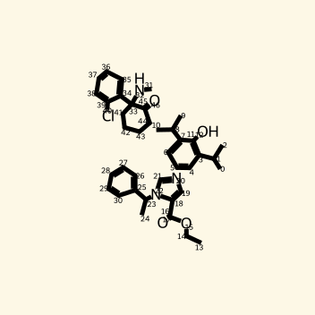 CC(C)c1cccc(C(C)C)c1O.CCOC(=O)c1cncn1C(C)c1ccccc1.CNC1(c2ccccc2Cl)CCCCC1=O